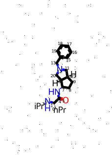 CCC[C@H](NC(C)C)C(=O)N[C@H]1CC[C@@H]2CN(Cc3ccccc3)C[C@@H]21